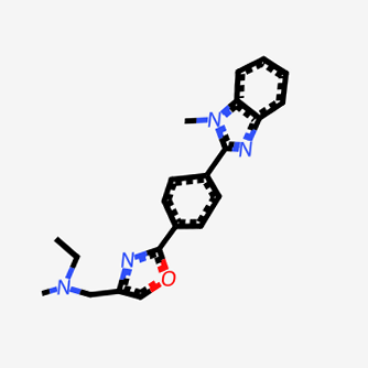 CCN(C)Cc1coc(-c2ccc(-c3nc4ccccc4n3C)cc2)n1